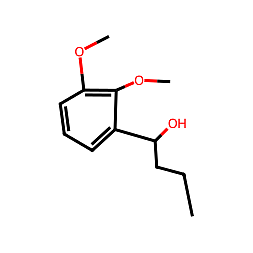 CCCC(O)c1cccc(OC)c1OC